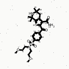 COCCN(CCOC)S(=O)(=O)c1ccc(C(=O)c2sc3c(c2C(N)=O)CC(C)(C)NC3(C)C)cc1